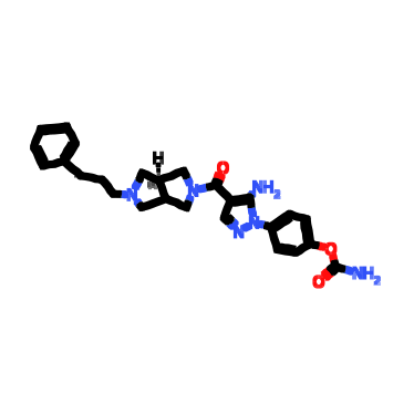 NC(=O)Oc1ccc(-n2ncc(C(=O)N3CC4CN(CC[CH]c5ccccc5)C[C@H]4C3)c2N)cc1